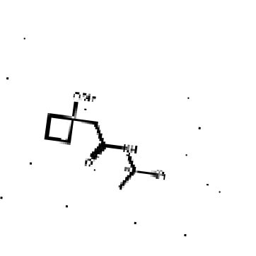 COC1(CC(=O)N[C@H](C)C(C)C)CCC1